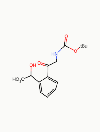 CC(C)(C)OC(=O)NCC(=O)c1ccccc1C(O)C(=O)O